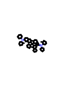 Cc1ccccc1N(c1ccccc1)c1ccc2cc3c(cc2c1)C1(c2ccccc2-c2c1ccc1ccccc21)c1c-3ccc2cc(N(c3ccccc3)c3ccccc3C)ccc12